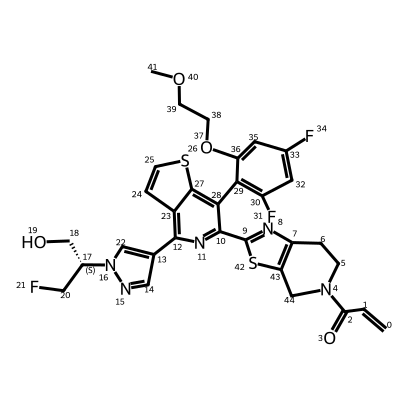 C=CC(=O)N1CCc2nc(-c3nc(-c4cnn([C@@H](CO)CF)c4)c4ccsc4c3-c3c(F)cc(F)cc3OCCOC)sc2C1